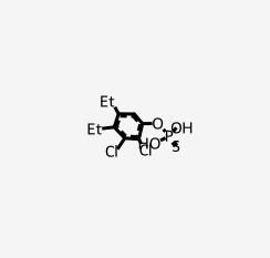 CCc1cc(OP(O)(O)=S)c(Cl)c(Cl)c1CC